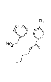 CCCCOC(=O)c1ccc(O)cc1.OCc1ccccc1